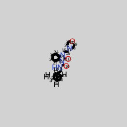 CC1(C)[C@H]2CC[C@@H](CNC(=O)n3c(=O)n(CCN4CCOCC4)c4ccccc43)[C@@H]1C2